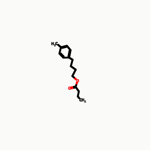 CCCC(=O)OCCCCc1ccc(C)cc1